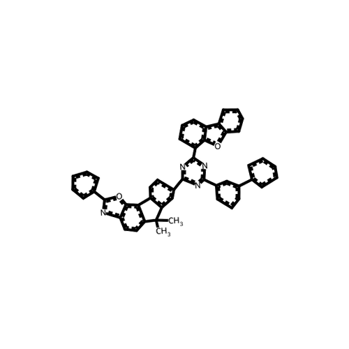 CC1(C)c2cc(-c3nc(-c4cccc(-c5ccccc5)c4)nc(-c4cccc5c4oc4ccccc45)n3)ccc2-c2c1ccc1nc(-c3ccccc3)oc21